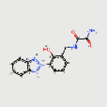 NC(=O)C(=O)NCc1cccc(-n2nc3ccccc3n2)c1O